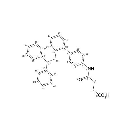 O=C(O)CCC(=O)Nc1ccc(-c2ccccc2CC(c2cccnc2)c2cccnc2)cc1